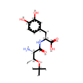 C[C@@H](OC(C)(C)C)[C@H](N)C(=O)N[C@@H](Cc1ccc(O)c(O)c1)C(=O)O